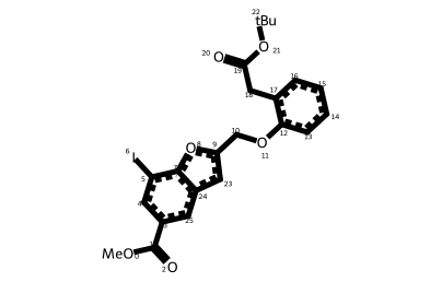 COC(=O)c1cc(I)c2oc(COc3ccccc3CC(=O)OC(C)(C)C)cc2c1